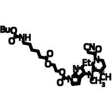 CCC1N=c2c(ccn2C(=O)OCCOC(=O)CCCCCNC(=O)OC(C)(C)C)=C1N(C)[C@H]1CN(C(=O)CC#N)CC[C@H]1C